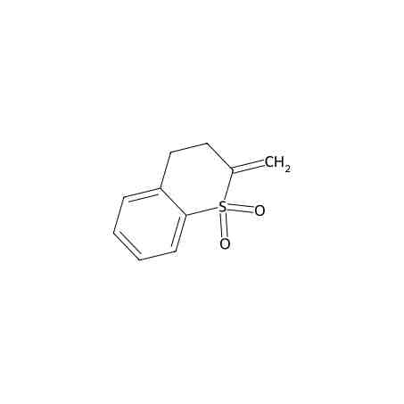 C=C1CCc2ccccc2S1(=O)=O